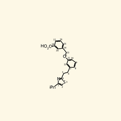 CC(C)c1csc(CCc2cccc(OCc3cccc(C(=O)O)c3)c2)n1